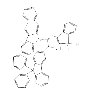 CC1(C)C2=C(N=C(n3c4ccccc4c4cc5ccccc5cc43)C(c3ccc4c(c3)-c3ccccc3C4(c3ccccc3)c3ccccc3)N2)c2ccccc21